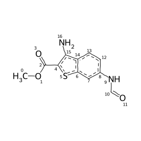 COC(=O)c1sc2cc(NC=O)ccc2c1N